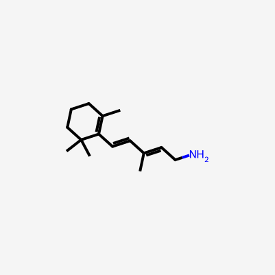 CC1=C(/C=C/C(C)=C/CN)C(C)(C)CCC1